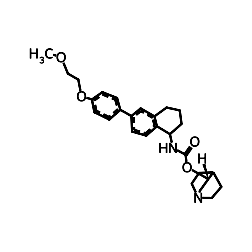 COCCOc1ccc(-c2ccc3c(c2)CCCC3NC(=O)O[C@H]2CN3CCC2CC3)cc1